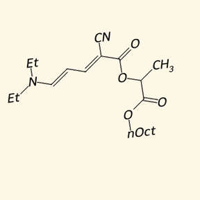 CCCCCCCCOC(=O)C(C)OC(=O)C(C#N)=CC=CN(CC)CC